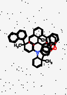 CC1(c2cccc3ccccc23)C=CC(N(c2ccccc2C2C=CC=C3C=CC=C(C4CCCCC4)C32C)C2C=CC=CC2(C)c2ccc3c(c2)oc2ccccc23)=CC1